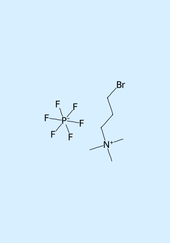 C[N+](C)(C)CCCBr.F[P-](F)(F)(F)(F)F